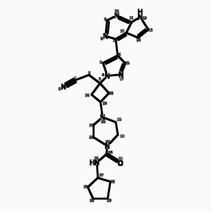 N#CCC1(n2cc(-c3ncnc4[nH]ccc34)cn2)CC(N2CCN(C(=O)NC3CCCC3)CC2)C1